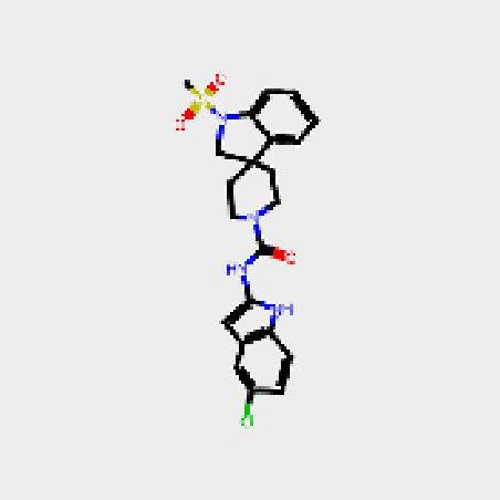 CS(=O)(=O)N1CC2(CCN(C(=O)Nc3cc4cc(Cl)ccc4[nH]3)CC2)c2ccccc21